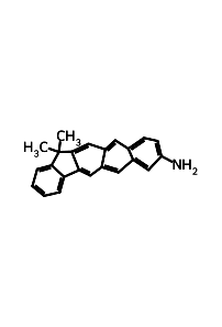 CC1(C)c2ccccc2-c2cc3cc4cc(N)ccc4cc3cc21